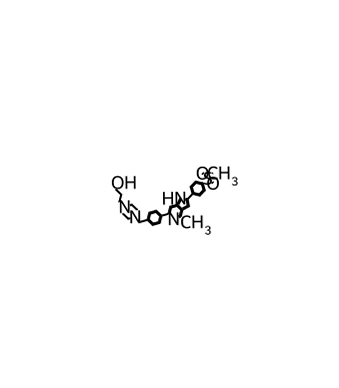 Cc1nc(-c2ccc(CN3CCN(CCCO)CC3)cc2)cc2[nH]c(-c3ccc(S(C)(=O)=O)cc3)cc12